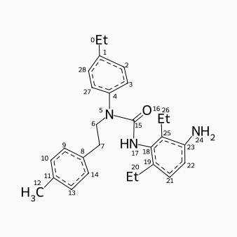 CCc1ccc(N(CCc2ccc(C)cc2)C(=O)Nc2c(CC)ccc(N)c2CC)cc1